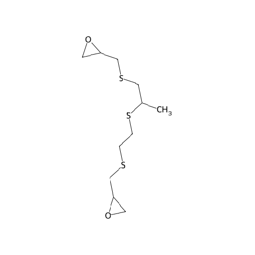 CC(CSCC1CO1)SCCSCC1CO1